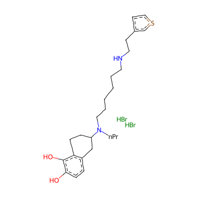 Br.Br.CCCN(CCCCCCNCCc1ccsc1)C1CCc2c(ccc(O)c2O)C1